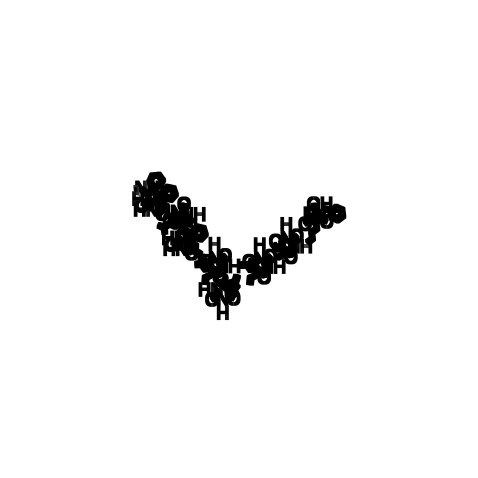 C=CCC1(C(C)C)C(=O)NC(=O)NC1=O.C=CCC1(CC(=C)Br)C(=O)NC(=O)NC1=O.C=CCC1(CC=C)C(=O)NC(=O)NC1=O.C=CCC1(c2ccccc2)C(=O)NC(=O)NC1=O.CCC1(CC)C(=O)NC(=O)NC1=O.CCC1(CCC(C)C)C(=O)NC(=O)NC1=O.CCC1(c2ccccc2)C(=O)NC(=O)NC1=O.CCCCC1C(=O)N=C(O)N(Cc2ccccc2)C1=O.CN[C@@H](C)CC1CCCCC1